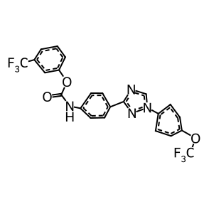 O=C(Nc1ccc(-c2ncn(-c3ccc(OC(F)(F)F)cc3)n2)cc1)Oc1cccc(C(F)(F)F)c1